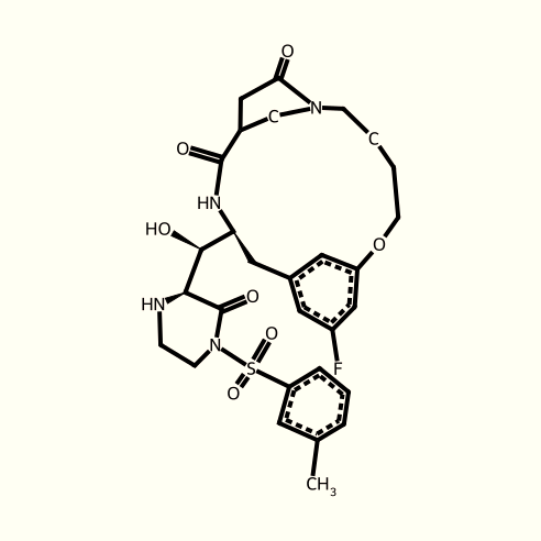 Cc1cccc(S(=O)(=O)N2CCN[C@@H]([C@@H](O)[C@@H]3Cc4cc(F)cc(c4)OCCCCN4CC(CC4=O)C(=O)N3)C2=O)c1